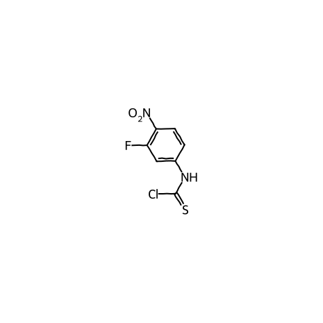 O=[N+]([O-])c1ccc(NC(=S)Cl)cc1F